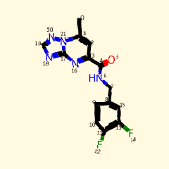 Cc1cc(C(=O)NCc2ccc(F)c(F)c2)nc2ncnn12